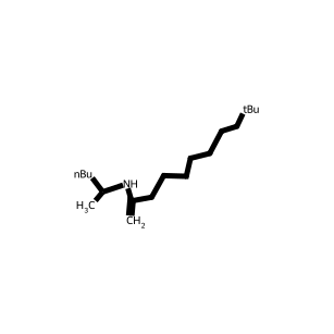 C=C(CCCCCCCC(C)(C)C)NC(C)CCCC